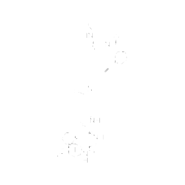 O=C1CCC(N2Cc3c(C#CC4CCN(C(=O)[C@H]5CC[C@H](NC(=O)[C@@H]6NC7(CCCCC7)[C@@]7(C(=O)Nc8cc(Cl)ccc87)[C@H]6c6cccc(F)c6F)CC5)CC4)cccc3C2=O)C(=O)N1